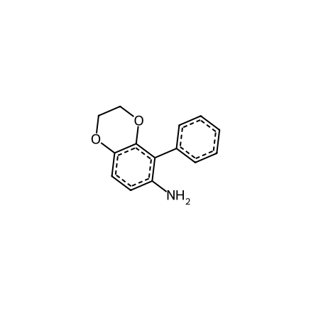 Nc1ccc2c(c1-c1ccccc1)OCCO2